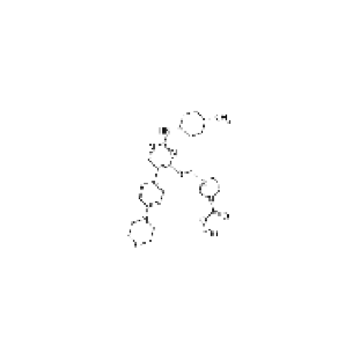 CC(C)(C)OC(=O)N1CC[C@@H](COc2nc(N[C@H]3CC[C@@H](C)CC3)ncc2-c2ccc(N3CCOCC3)cc2)C1